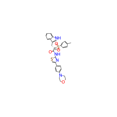 Cc1ccc(S(=O)(=O)[C@@H](Cc2c[nH]c3ccccc23)C(=O)Nc2nc(-c3ccc(N4CCOCC4)cc3)cs2)cc1